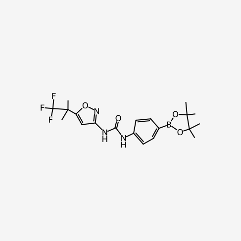 CC1(C)OB(c2ccc(NC(=O)Nc3cc(C(C)(C)C(F)(F)F)on3)cc2)OC1(C)C